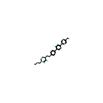 CCCCC1CCC(CCc2ccc(-c3ccc(-c4ccc(CC)cc4)c(F)c3F)cc2)C(F)=C1F